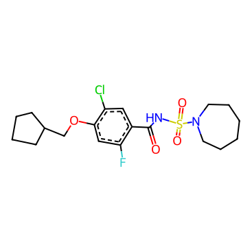 O=C(NS(=O)(=O)N1CCCCCC1)c1cc(Cl)c(OCC2CCCC2)cc1F